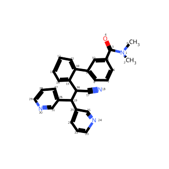 CN(C)C(=O)c1cccc(-c2ccccc2C(C#N)C(c2cccnc2)c2cccnc2)c1